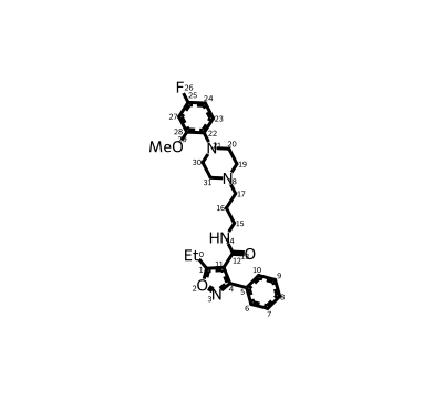 CCc1onc(-c2ccccc2)c1C(=O)NCCCN1CCN(c2ccc(F)cc2OC)CC1